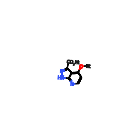 CCOC(=O)c1n[nH]c2nccc(OCC)c12